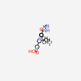 CC(C)(C)C1CC(C2CCN(C(=O)O)CC2)CCN1c1ccc(C(=O)Nc2ncns2)cc1